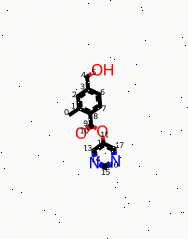 Cc1cc(CO)ccc1C(=O)Oc1cncnc1